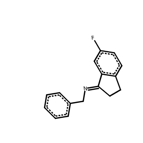 Fc1ccc2c(c1)/C(=N/Cc1ccccc1)CC2